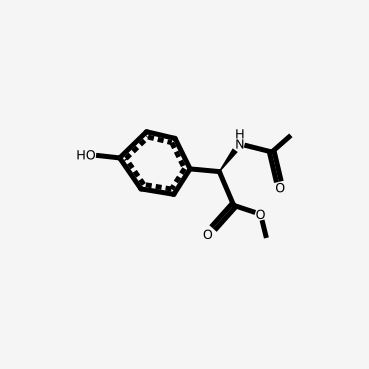 COC(=O)[C@H](NC(C)=O)c1ccc(O)cc1